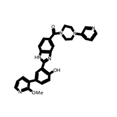 COc1ncccc1-c1ccc(O)c(-c2nc3cc(C(=O)N4CCN(c5cccnc5)CC4)ccc3[nH]2)c1